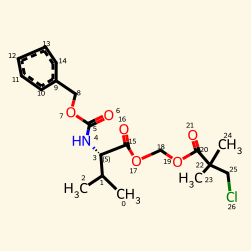 CC(C)[C@H](NC(=O)OCc1ccccc1)C(=O)OCOC(=O)C(C)(C)CCl